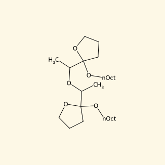 CCCCCCCCOC1(C(C)OC(C)C2(OCCCCCCCC)CCCO2)CCCO1